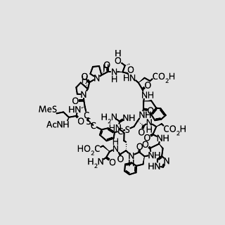 CSCC[C@H](NC(C)=O)C(=O)N[C@H]1CSCc2cccc(c2)CSC[C@@H](C(=O)N[C@@H](CC(=O)O)C(=O)N[C@@H](Cc2c[nH]cn2)C(=O)N[C@@H](Cc2ccccc2)C(=O)N[C@@H](CCCNC(=N)N)C(=O)N[C@H](CC(=O)O)C(N)=O)NC(=O)[C@H](Cc2ccccc2)NC(=O)[C@H](CCC(=O)O)NC(=O)[C@H]([C@@H](C)O)NC(=O)[C@@H]2CCCN2C(=O)[C@@H]2CCCN2C1=O